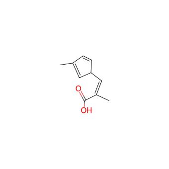 CC1=CC(C=C(C)C(=O)O)C=C1